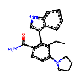 CCc1c(N2CCCC2)ccc(C(N)=O)c1-c1c[nH]c2ccccc12